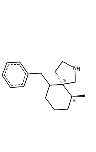 C[C@H]1CCCC(Cc2ccccc2)[C@]12CCNC2